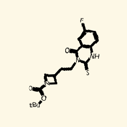 CC(C)(C)OC(=O)N1CC(CCn2c(=S)[nH]c3ccc(F)cc3c2=O)C1